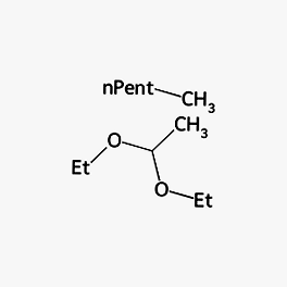 CCCCCC.CCOC(C)OCC